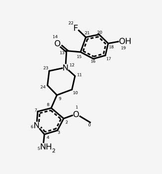 COc1cc(N)ncc1C1CCN(C(=O)c2ccc(O)cc2F)CC1